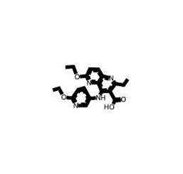 CCOc1ccc(Nc2c(C(=O)O)c(CC)nc3ccc(OCC)nc23)cn1